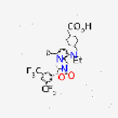 CCN(CC1CCC(CC(=O)O)CC1)c1ccc(C2CC2)nc1CN1C(=O)O[C@H](c2cc(C(F)(F)F)cc(C(F)(F)F)c2)[C@@H]1C